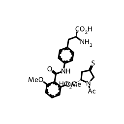 CC(=O)N1CC(=S)C[C@H]1C(=O)O.COc1cccc(OC)c1C(=O)Nc1ccc(C[C@H](N)C(=O)O)cc1